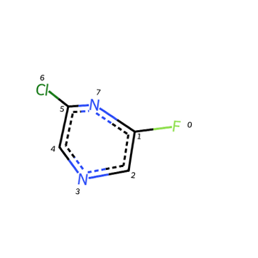 Fc1cncc(Cl)n1